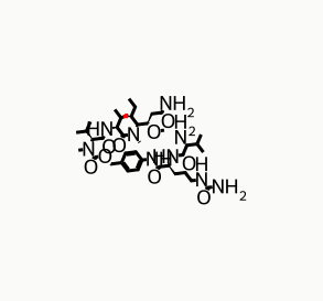 CC[C@H](C)[C@@H]([C@@H](CC(N)=O)OC)N(C)C(=O)[C@@H](NC(=O)[C@H](C(C)C)N(C)C(=O)OCc1ccc(NC(=O)[C@H](CCCNC(N)=O)NC(=O)[C@@H](N)C(C)C)cc1)C(C)C